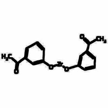 CC(=O)c1cccc([O][Zr][O]c2cccc(C(C)=O)c2)c1